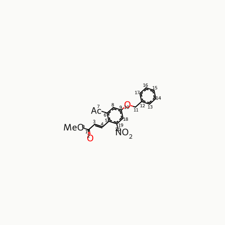 COC(=O)C=Cc1c(C(C)=O)cc(OCc2ccccc2)cc1[N+](=O)[O-]